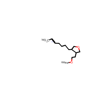 CCCCCCOCCC1COCC1CCCC/C=C/C(=O)O